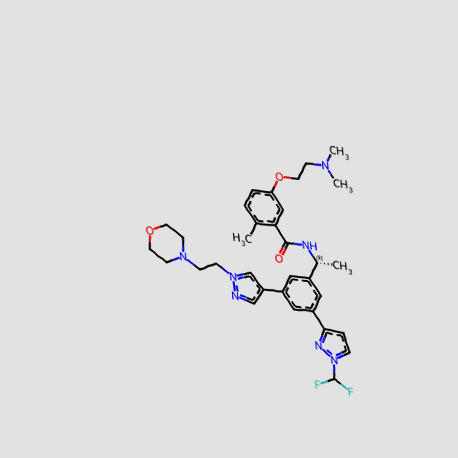 Cc1ccc(OCCN(C)C)cc1C(=O)N[C@H](C)c1cc(-c2cnn(CCN3CCOCC3)c2)cc(-c2ccn(C(F)F)n2)c1